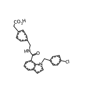 O=C(O)Cc1ccc(CNC(=O)c2cccc3ccn(Cc4ccc(Cl)cc4)c23)cc1